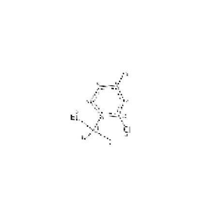 CCC(C)(C)c1ccc(C)cc1Cl